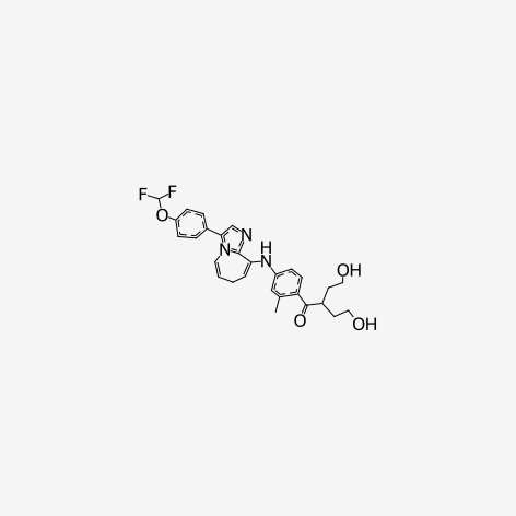 Cc1cc(NC2=CCC=Cn3c(-c4ccc(OC(F)F)cc4)cnc32)ccc1C(=O)C(CCO)CCO